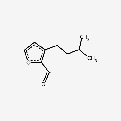 CC(C)CCc1ccoc1[C]=O